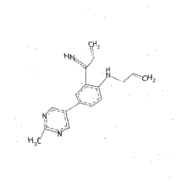 C=CCNc1ccc(-c2cnc(C)nc2)cc1C(=N)C=C